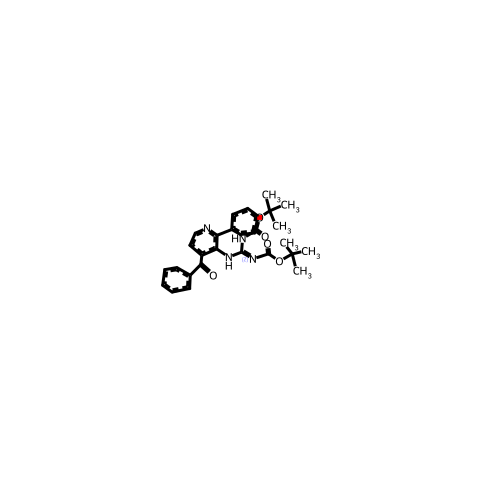 CC(C)(C)OC(=O)/N=C(\NC(=O)OC(C)(C)C)Nc1c(C(=O)c2ccccc2)ccnc1-c1ccccc1